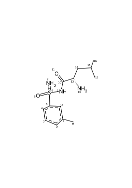 Cc1cccc([SH](N)(=O)NC(=O)[C@@H](N)CC(C)C)c1